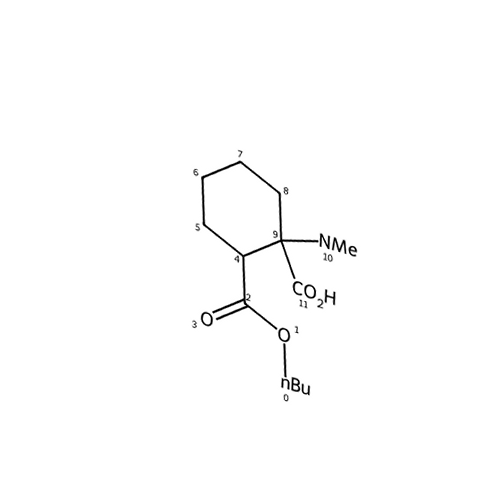 CCCCOC(=O)C1CCCCC1(NC)C(=O)O